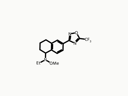 CCN(OC)C1CCCc2cc(-c3noc(C(F)(F)F)n3)ccc21